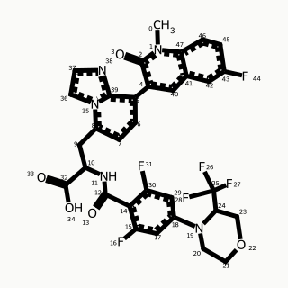 Cn1c(=O)c(-c2ccc(CC(NC(=O)c3c(F)cc(N4CCOCC4C(F)(F)F)cc3F)C(=O)O)n3ccnc23)cc2cc(F)ccc21